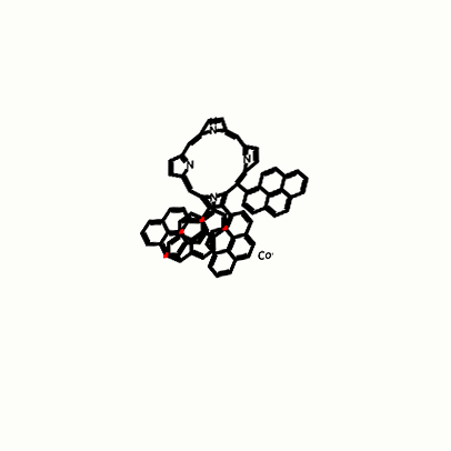 C1=Cc2cc3c(-c4ccc5ccc6cccc7ccc4c5c67)c(-c4ccc5ccc6cccc7ccc4c5c67)c(c(-c4ccc5ccc6cccc7ccc4c5c67)c4nc(cc5ccc(cc1n2)[nH]5)C=C4)n3-c1ccc2ccc3cccc4ccc1c2c34.[Co]